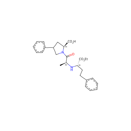 CCOC(=O)[C@H](CCc1ccccc1)N[C@@H](C)C(=O)N1CC(c2ccccc2)C[C@H]1C(=O)O